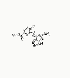 COC(=O)c1ccc(Cl)c(COc2cc(N)nc3[nH]nnc23)c1